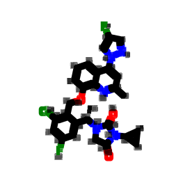 Cc1cc(-n2cc(F)cn2)c2cccc(OCc3c(Cl)cc(F)cc3[C@H](C)N3CC(=O)N(C4CC4)C3=O)c2n1